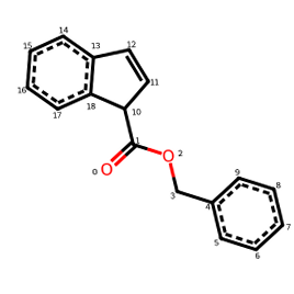 O=C(OCc1ccccc1)C1C=Cc2ccccc21